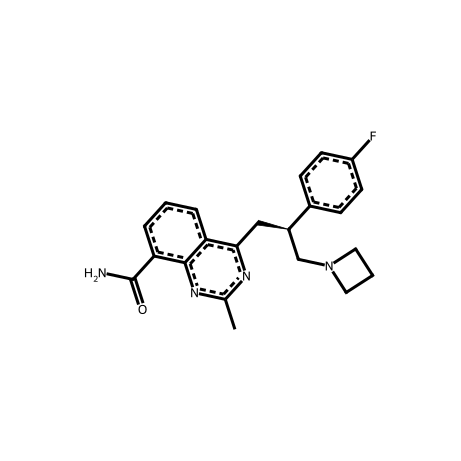 Cc1nc(C[C@H](CN2CCC2)c2ccc(F)cc2)c2cccc(C(N)=O)c2n1